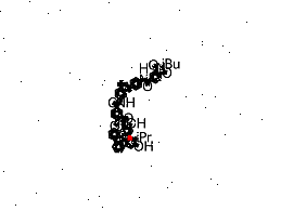 CCC(C)N1C(=O)c2ccc(C(=O)Nc3ccc(C4(C)CC(C)(C)c5ccc(NC(=O)c6ccc7c(c6)C(=O)N(c6cc(C8(c9ccc(O)c(C(C)C)c9)c9ccccc9-c9ccccc98)ccc6O)C7=O)cc54)cc3)cc2C1=O